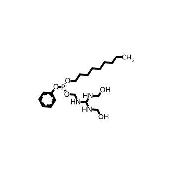 CCCCCCCCCOP(OCNC(NCO)NCO)Oc1ccccc1